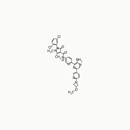 COC1CN(c2ccc(-c3cnc(N)c(-c4ccc(NC(=O)c5c(C)n(C)n(-c6cc(Cl)ccc6Cl)c5=O)cn4)n3)cn2)C1